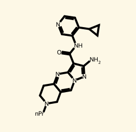 CCCN1CCc2nc3c(C(=O)Nc4cnccc4C4CC4)c(N)nn3cc2C1